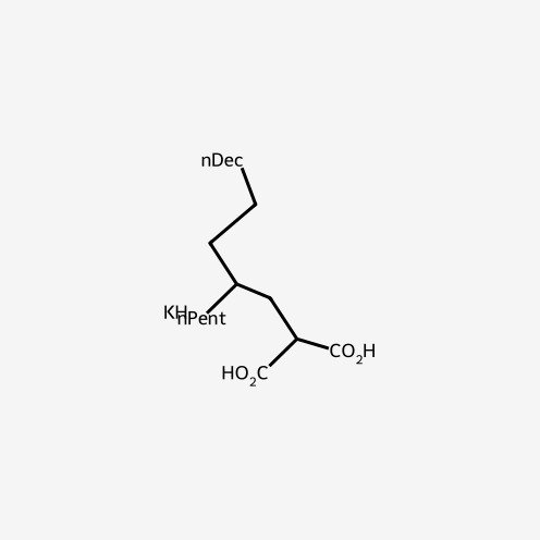 CCCCCCCCCCCCC(CCCCC)CC(C(=O)O)C(=O)O.[KH]